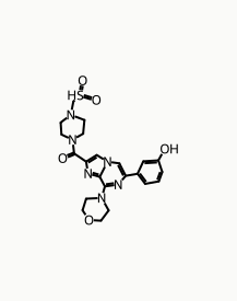 O=C(c1cn2cc(-c3cccc(O)c3)nc(N3CCOCC3)c2n1)N1CCN(C[SH](=O)=O)CC1